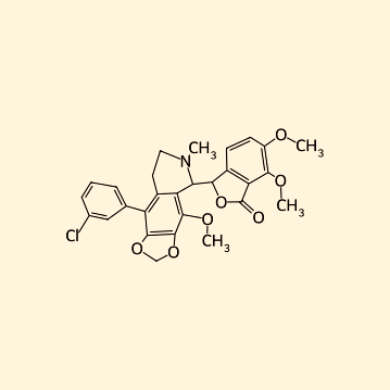 COc1ccc2c(c1OC)C(=O)OC2C1c2c(c(-c3cccc(Cl)c3)c3c(c2OC)OCO3)CCN1C